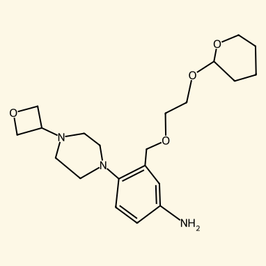 Nc1ccc(N2CCN(C3COC3)CC2)c(COCCOC2CCCCO2)c1